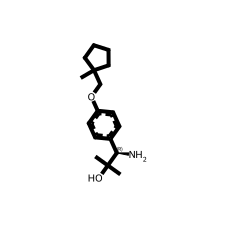 CC1(COc2ccc([C@@H](N)C(C)(C)O)cc2)CCCC1